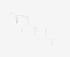 Cc1cc(I)ccc1N1CCC(N(C)C)CC1